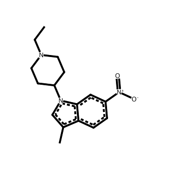 CCN1CCC(n2cc(C)c3ccc([N+](=O)[O-])cc32)CC1